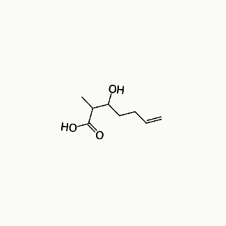 C=CCCC(O)C(C)C(=O)O